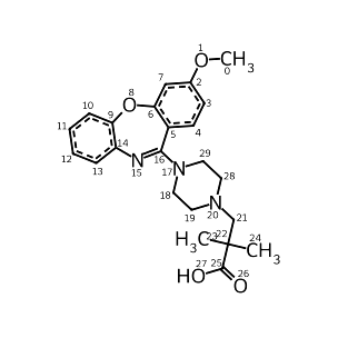 COc1ccc2c(c1)Oc1ccccc1N=C2N1CCN(CC(C)(C)C(=O)O)CC1